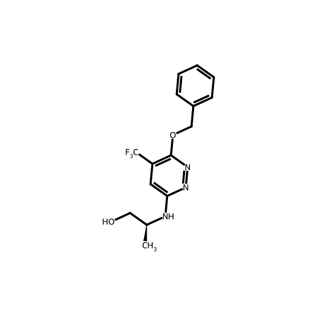 C[C@@H](CO)Nc1cc(C(F)(F)F)c(OCc2ccccc2)nn1